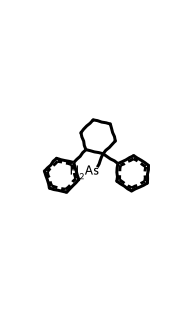 [AsH2]C1(c2ccccc2)CCCCC1c1ccccc1